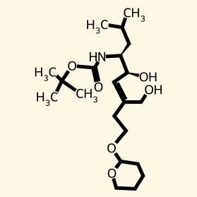 CC(C)C[C@H](NC(=O)OC(C)(C)C)[C@@H](O)C=C(CO)CCOC1CCCCO1